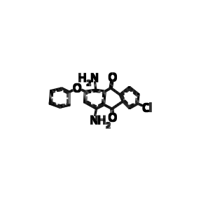 Nc1cc(Oc2ccccc2)c(N)c2c1C(=O)c1cc(Cl)ccc1C2=O